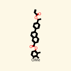 C=CC(=O)OC(C)c1ccc(-c2ccc3cc(C(=O)Oc4ccc(OC)c(C)c4C)ccc3c2)cc1